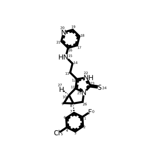 Fc1ccc(Cl)cc1[C@]12C[C@H]1c1c(CCNc3cccnc3)[nH]c(=S)n1C2